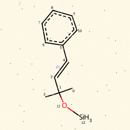 CC(C)(/C=C/c1ccccc1)O[SiH3]